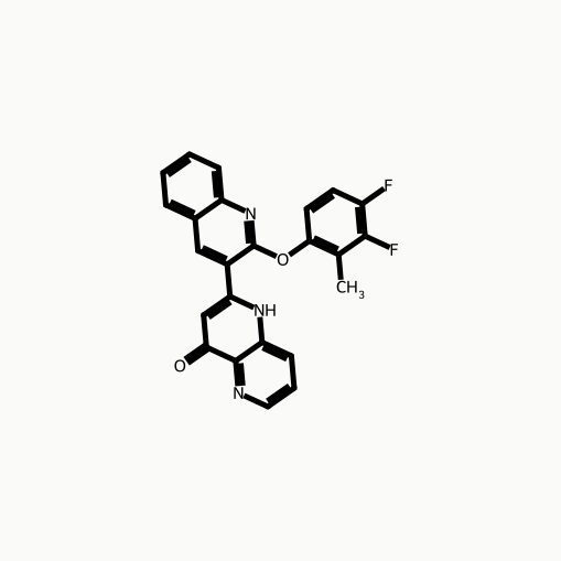 Cc1c(Oc2nc3ccccc3cc2-c2cc(=O)c3ncccc3[nH]2)ccc(F)c1F